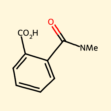 [CH]NC(=O)c1ccccc1C(=O)O